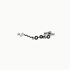 CCCCCCCCOc1ccc(-c2ccc(C(=O)Nc3cccc(P(=O)(O)O)c3)cc2)cc1